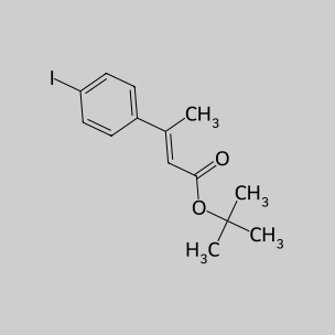 C/C(=C\C(=O)OC(C)(C)C)c1ccc(I)cc1